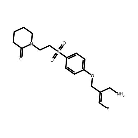 NC/C(=C\F)COc1ccc(S(=O)(=O)CCN2CCCCC2=O)cc1